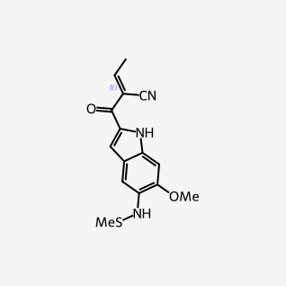 C/C=C(\C#N)C(=O)c1cc2cc(NSC)c(OC)cc2[nH]1